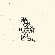 COC(=O)c1ccc([C@@H](C)[C@@]2(C)C(=O)N(Cc3ccc(OC)cc3OC)c3ncncc32)cc1